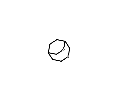 C1CC2CCC(CS1)OC2